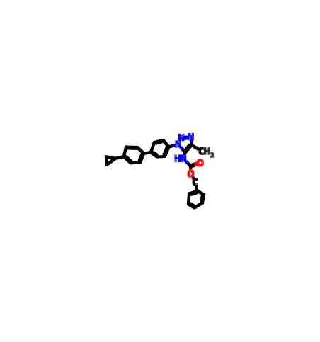 Cc1nnn(-c2ccc(-c3ccc(C4CC4)cc3)cc2)c1NC(=O)OCc1ccccc1